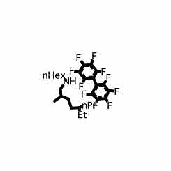 CCCCCCNCC(C)CCC(CC)CCC.Fc1c(F)c(F)c(-c2c(F)c(F)c(F)c(F)c2F)c(F)c1F